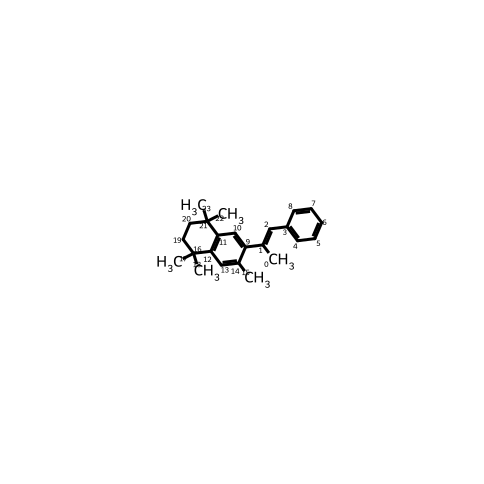 C/C(=C\c1ccccc1)c1cc2c(cc1C)C(C)(C)CCC2(C)C